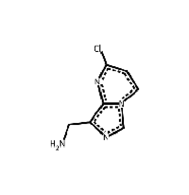 NCc1ncn2ccc(Cl)nc12